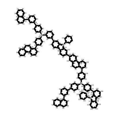 c1ccc(-n2c3cc(-c4cccc(N(c5ccc(-c6cccc(-c7cccc8ccccc78)c6)cc5)c5ccc(-c6cccc7c6ccc6ccccc67)cc5)c4)ccc3c3ccc(-c4ccc5c(ccc6c(-c7ccc(N(c8ccc(-c9cccc(-c%10cccc%11ccccc%10%11)c9)cc8)c8ccc(-c9cccc%10c%11ccccc%11n(-c%11ccccc%11)c9%10)cc8)cc7)cccc65)c4)cc32)cc1